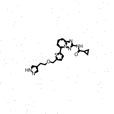 O=C(Nc1nc2cccc(-c3ccc(COCCc4cn[nH]c4)s3)n2n1)C1CC1